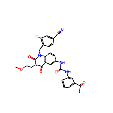 COCCn1c(=O)c2cc(NC(=O)Nc3cccc(C(C)=O)c3)ccc2n(Cc2ccc(C#N)cc2F)c1=O